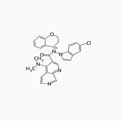 CN(C)c1c(C(=O)N([C@H]2CCOc3ccccc32)n2ccc3cc(Cl)ccc32)cnc2cnccc12